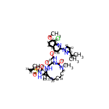 COc1ccc2c(OCC[C@@H]3NC(=O)N(C)CCCC/C=C\[C@@H]4C[C@@]4(C(=O)NS(=O)(=O)C4(C)CC4)NC3=O)cc(-n3ccc(C(C)C)n3)nc2c1Cl